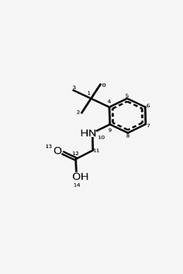 CC(C)(C)c1ccccc1NCC(=O)O